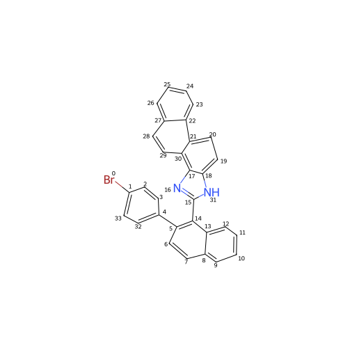 Brc1ccc(-c2ccc3ccccc3c2-c2nc3c(ccc4c5ccccc5ccc43)[nH]2)cc1